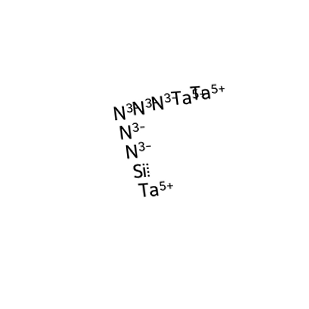 [N-3].[N-3].[N-3].[N-3].[N-3].[Si].[Ta+5].[Ta+5].[Ta+5]